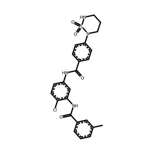 Cc1cccc(C(=O)Nc2cc(NC(=O)c3ccc(N4CCCNS4(=O)=O)cc3)ccc2Cl)c1